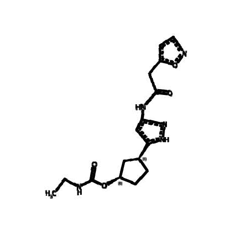 CCNC(=O)O[C@@H]1CC[C@H](c2cc(NC(=O)Cc3ccno3)n[nH]2)C1